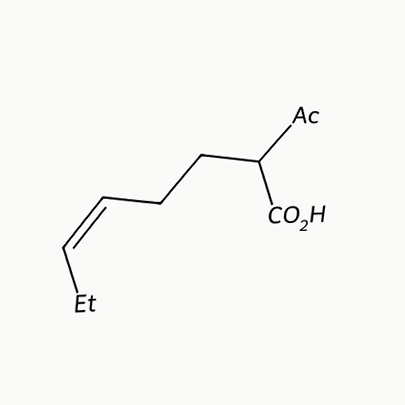 CC/C=C\CCC(C(C)=O)C(=O)O